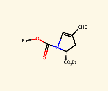 CCOC(=O)[C@@H]1CC(C=O)=CN1C(=O)OC(C)(C)C